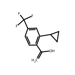 C=C(O)c1ccc(C(F)(F)F)cc1C1CC1